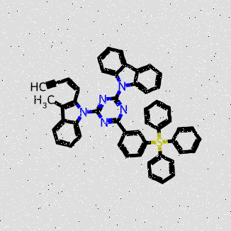 C#C/C=C\c1c(C)c2ccccc2n1-c1nc(-c2cccc(S(c3ccccc3)(c3ccccc3)c3ccccc3)c2)nc(-n2c3ccccc3c3ccccc32)n1